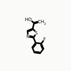 C=C(O)c1cnc(-c2ccccc2F)s1